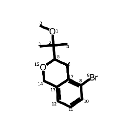 COC(C)(C)C1Cc2c(Br)cccc2CO1